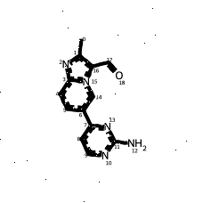 Cc1nc2ccc(-c3ccnc(N)n3)cn2c1C=O